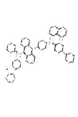 CC1(C)c2ccccc2-c2ccc(N(c3ccccc3)c3c4ccccc4c(-c4ccc(N(c5ccc(-c6ccccc6)cc5)c5cccc6ccccc56)cc4)c4ccccc34)cc21